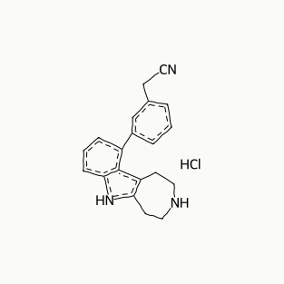 Cl.N#CCc1cccc(-c2cccc3[nH]c4c(c23)CCNCC4)c1